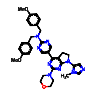 COc1ccc(CN(Cc2ccc(OC)cc2)c2ncc(-c3nc(N4CCOCC4)nc4c3CCN4c3cncn3C)cn2)cc1